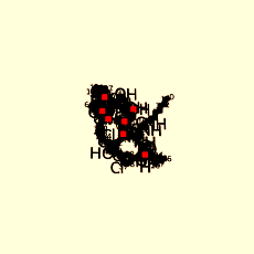 CCCCCCCCNC(=O)NC(=O)C[C@@H]1NC(=O)[C@H](NC(=O)[C@@H](CC(C)C)NC)[C@H](O)c2ccc(c(Cl)c2)Oc2cc3cc(c2O)Oc2ccc(cc2Cl)[C@@H](OC2CC(C)(N)C(O)C(C)O2)[C@@H]2NC(=O)[C@H](NC(=O)[C@@H]3NC1=O)c1ccc(O)c(c1)-c1c(O)cc(O)cc1[C@@H](C(=O)NC1C3CC4CC(C3)CC1C4)NC2=O